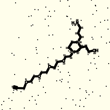 C#CCOCCOCCOCCOCCN1CCN(CCCN)C(CCO)C1